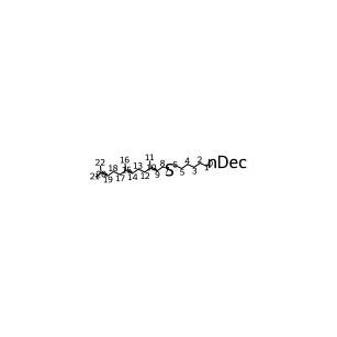 CCCCCCCCCCCCCCCCSC/C=C(\C)CC/C=C(\C)CCC=C(C)C